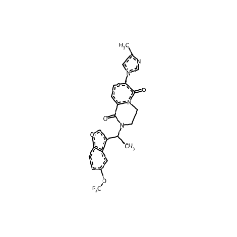 Cc1cn(-c2ccc3n(c2=O)CCN(C(C)c2coc4ccc(OC(F)(F)F)cc24)C3=O)cn1